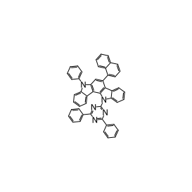 c1ccc(-c2nc(-c3ccccc3)nc(-n3c4ccccc4c4c(-c5cccc6ccccc56)cc5c(c6ccccc6n5-c5ccccc5)c43)n2)cc1